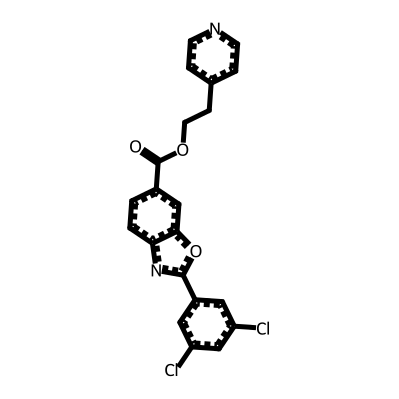 O=C(OCCc1ccncc1)c1ccc2nc(-c3cc(Cl)cc(Cl)c3)oc2c1